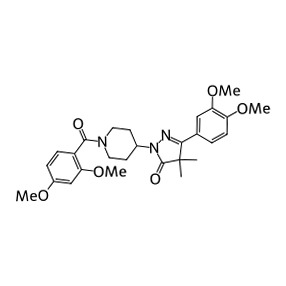 COc1ccc(C(=O)N2CCC(N3N=C(c4ccc(OC)c(OC)c4)C(C)(C)C3=O)CC2)c(OC)c1